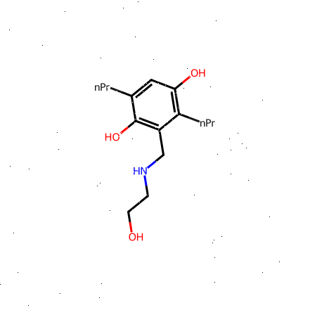 CCCc1cc(O)c(CCC)c(CNCCO)c1O